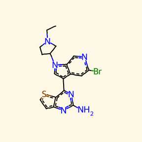 CCN1CCC(n2cc(-c3nc(N)nc4ccsc34)c3cc(Br)ncc32)C1